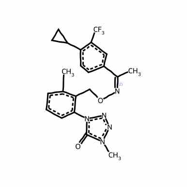 C/C(=N/OCc1c(C)cccc1-n1nnn(C)c1=O)c1ccc(C2CC2)c(C(F)(F)F)c1